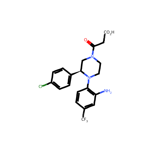 Nc1cc(C(F)(F)F)ccc1N1CCN(C(=O)CC(=O)O)C[C@@H]1c1ccc(Cl)cc1